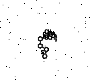 CC1(C)OB(c2cccc(-c3cccc(-c4cccc5c4sc4ccccc45)c3)c2)OC1(C)C